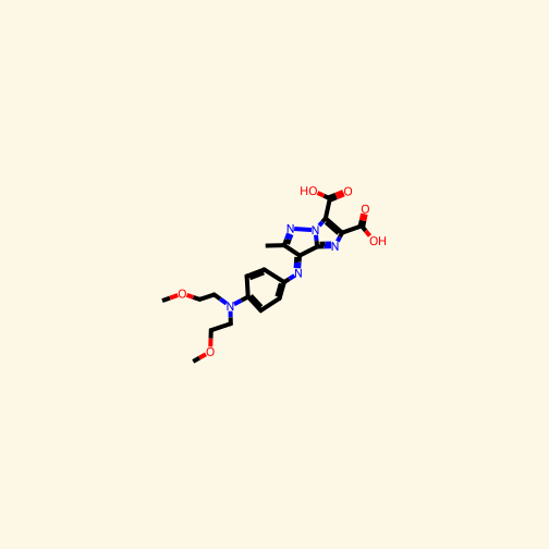 COCCN(CCOC)c1ccc(N=C2C(C)=Nn3c2nc(C(=O)O)c3C(=O)O)cc1